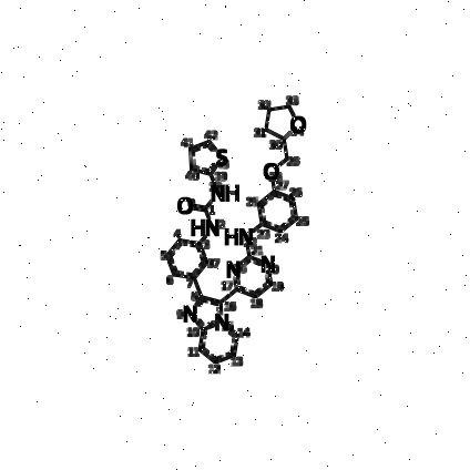 O=C(Nc1cccc(-c2nc3ccccn3c2-c2ccnc(Nc3cccc(OCC4CCCO4)c3)n2)c1)Nc1cccs1